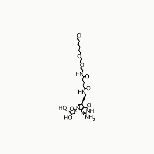 Nc1nc2c(c(C#CCNC(=O)CCCC(=O)NCCOCCOCCCCCCCl)cn2[C@H]2CC(O)[C@@H](CO)O2)c(=O)[nH]1